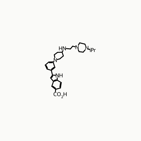 CC(C)N1CCN(CCNC2CCN(c3cccc(-c4cc5cc(C(=O)O)ccc5[nH]4)c3)CC2)CC1